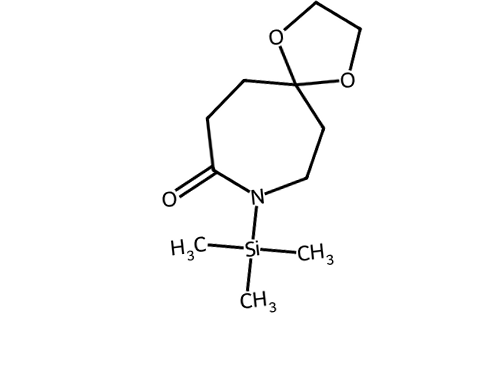 C[Si](C)(C)N1CCC2(CCC1=O)OCCO2